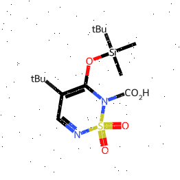 CC(C)(C)C1=C(O[Si](C)(C)C(C)(C)C)N(C(=O)O)S(=O)(=O)N=C1